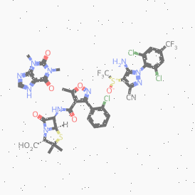 Cc1onc(-c2ccccc2Cl)c1C(=O)N[C@@H]1C(=O)N2[C@@H]1SC(C)(C)[C@@H]2C(=O)O.Cn1c(=O)c2[nH]cnc2n(C)c1=O.N#Cc1nn(-c2c(Cl)cc(C(F)(F)F)cc2Cl)c(N)c1[S+]([O-])C(F)(F)F